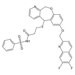 O=C(CCSC1c2cc(OCc3ccc4cc(F)c(F)cc4n3)ccc2OCc2ncccc21)NS(=O)(=O)c1ccccc1